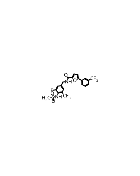 CS(=O)(=O)Nc1c(F)cc(CNC(=O)c2ccc(-c3cccc(C(F)(F)F)c3)o2)cc1C(F)(F)F